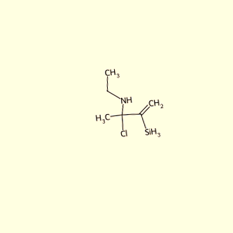 C=C([SiH3])C(C)(Cl)NCC